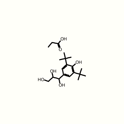 CC(C)(C)c1cc(C(O)C(O)CO)cc(C(C)(C)C)c1O.CCC(=O)O